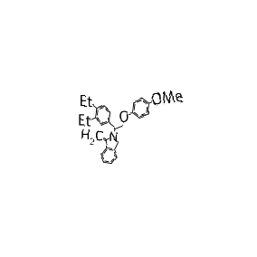 C=C1c2ccccc2CN1C(COc1ccc(OC)cc1)c1ccc(CC)c(CC)c1